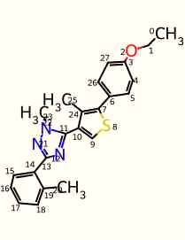 CCOc1ccc(-c2scc(-c3nc(-c4ccccc4C)nn3C)c2C)cc1